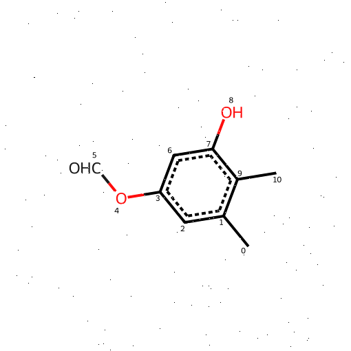 Cc1cc(OC=O)cc(O)c1C